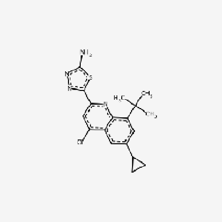 CC(C)(C)c1cc(C2CC2)cc2c(Cl)cc(-c3nnc(N)s3)nc12